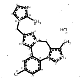 Cc1ncn2c1Cn1nc(Cn3ccnc3C)nc1-c1cc(Cl)ccc1-2.Cl